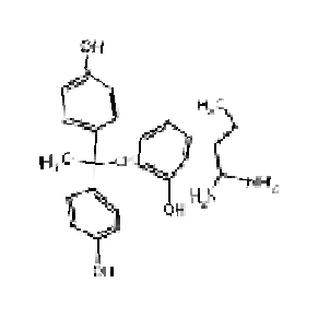 CC(C)(c1ccc(O)cc1)c1ccc(O)cc1.CCCC(N)N.Oc1ccccc1